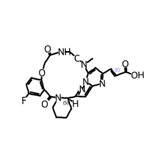 CN1CCNC(=O)COc2ccc(F)cc2C(=O)N2CCCC[C@H]2c2cc3nc(/C=C/C(=O)O)cc1n3n2